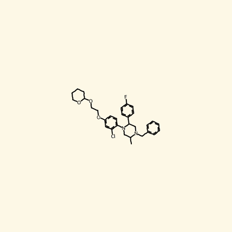 CC1CN(c2ccc(OCCOC3CCCCO3)cc2Cl)C(c2ccc(F)cc2)CN1Cc1ccccc1